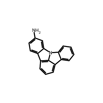 Nc1ccc2c3cccc4c5ccccc5n(c2c1)c43